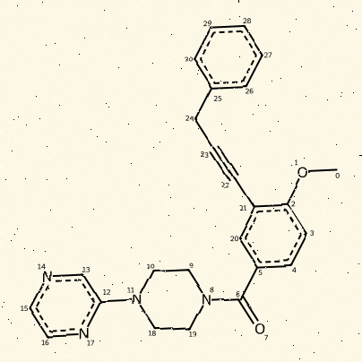 COc1ccc(C(=O)N2CCN(c3cnccn3)CC2)cc1C#CCc1ccccc1